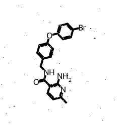 Cc1ccc(C(=O)NCc2ccc(Oc3ccc(Br)cc3)cc2)c(N)n1